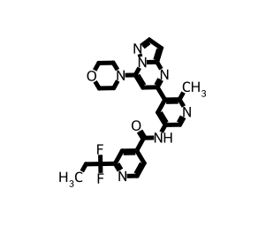 CCC(F)(F)c1cc(C(=O)Nc2cnc(C)c(-c3cc(N4CCOCC4)n4nccc4n3)c2)ccn1